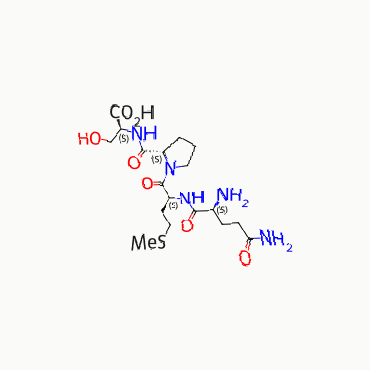 CSCC[C@H](NC(=O)[C@@H](N)CCC(N)=O)C(=O)N1CCC[C@H]1C(=O)N[C@@H](CO)C(=O)O